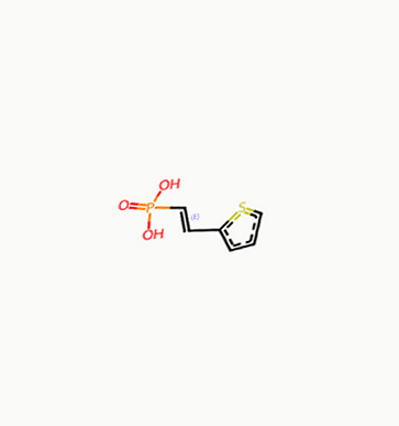 O=P(O)(O)/C=C/c1cccs1